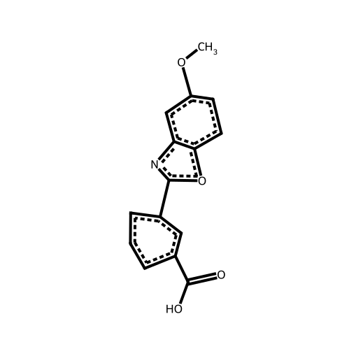 COc1ccc2oc(-c3cccc(C(=O)O)c3)nc2c1